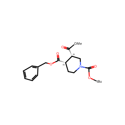 COC(=O)[C@@H]1CN(C(=O)OC(C)(C)C)CC[C@@H]1C(=O)OCc1ccccc1